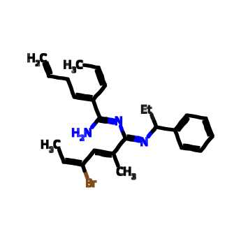 C=CC/C=C(\C=C/C)C(/N)=N/C(=N\C(CC)c1ccccc1)C(/C)=C/C(Br)=C\C